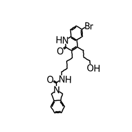 O=C(NCCCCc1c(CCCO)c2cc(Br)ccc2[nH]c1=O)N1Cc2ccccc2C1